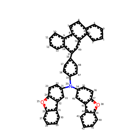 c1ccc2c(c1)ccc1c3ccccc3c(-c3ccc(N(c4ccc5oc6ccccc6c5c4)c4ccc5oc6ccccc6c5c4)cc3)cc21